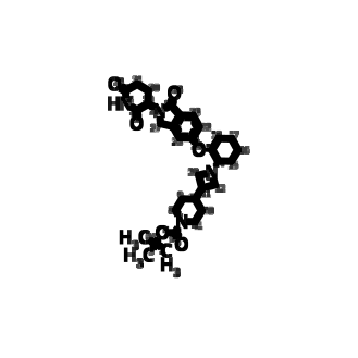 CC(C)(C)OC(=O)N1CCC(C2CN([C@@H]3CCCC[C@H]3Oc3ccc4c(c3)CN(C3CCC(=O)NC3=O)C4=O)C2)CC1